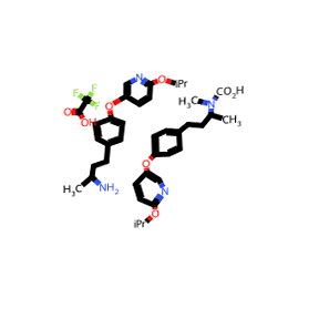 CC(C)Oc1ccc(Oc2ccc(CCC(C)N(C)C(=O)O)cc2)cn1.CC(N)CCc1ccc(Oc2ccc(OC(C)C)nc2)cc1.O=C(O)C(F)(F)F